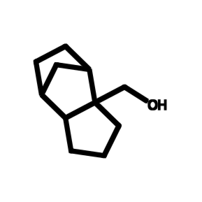 OCC12CCCC1C1CCC2C1